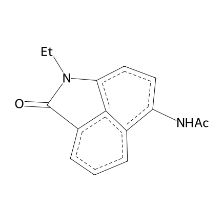 CCN1C(=O)c2cccc3c(NC(C)=O)ccc1c23